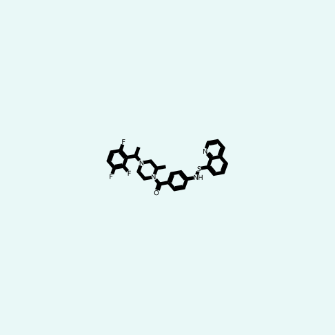 CC(c1c(F)ccc(F)c1F)N1CCN(C(=O)c2ccc(NSc3cccc4cccnc34)cc2)C(C)C1